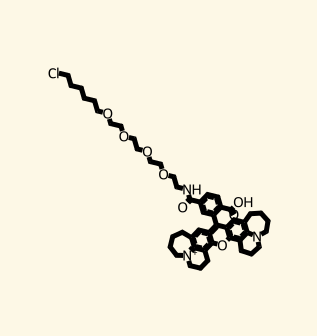 O=C(NCCOCCOCCOCCOCCCCCCCl)c1ccc(C(=O)O)c(C2=c3cc4c5c(c3Oc3c2cc2c6c3CCCN6CCCC2)CCC[N+]=5CCCC4)c1